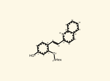 CCCCCCOc1cc(O)ccc1C=Cc1ccc2ccccc2n1